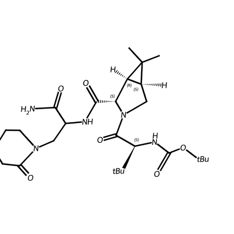 CC(C)(C)OC(=O)N[C@H](C(=O)N1C[C@H]2[C@@H]([C@H]1C(=O)NC(CN1CCCCC1=O)C(N)=O)C2(C)C)C(C)(C)C